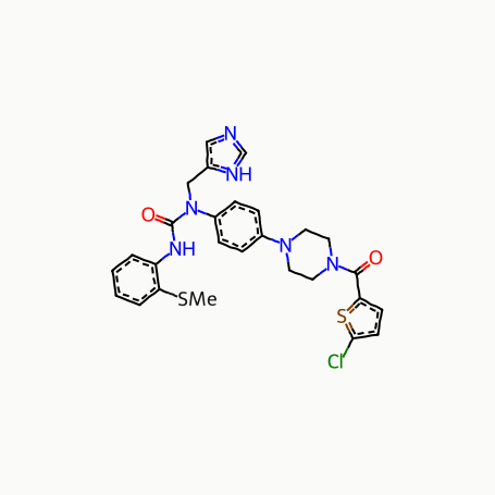 CSc1ccccc1NC(=O)N(Cc1cnc[nH]1)c1ccc(N2CCN(C(=O)c3ccc(Cl)s3)CC2)cc1